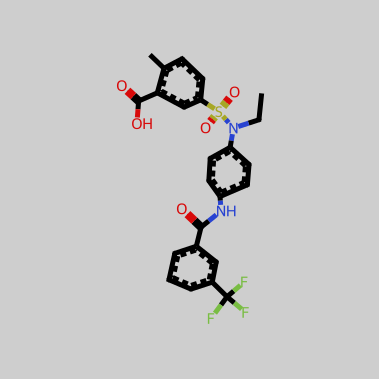 CCN(c1ccc(NC(=O)c2cccc(C(F)(F)F)c2)cc1)S(=O)(=O)c1ccc(C)c(C(=O)O)c1